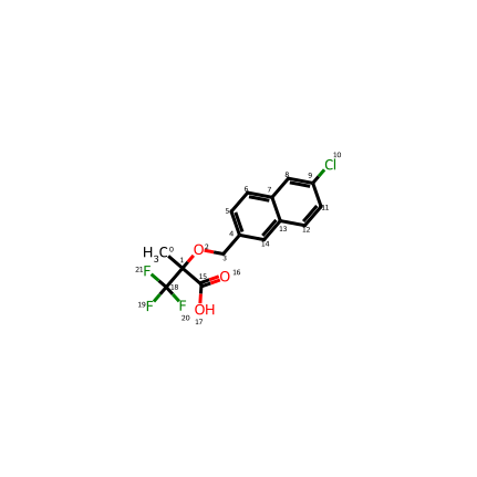 CC(OCc1ccc2cc(Cl)ccc2c1)(C(=O)O)C(F)(F)F